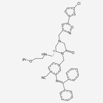 CC(C)OCCNC[C@@H]1CN(Cc2cc(-c3ccc(Cl)s3)on2)CC(=O)N1Cc1ccc(C#N)c(N=C(c2ccccc2)c2ccccc2)c1